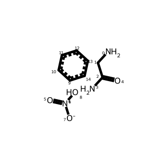 NCC(N)=O.O=[N+]([O-])O.c1ccccc1